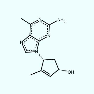 CC1=C[C@@H](O)C[C@H]1n1cnc2c(C)nc(N)nc21